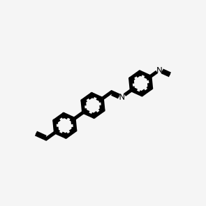 C=Cc1ccc(-c2ccc(C=Nc3ccc(N=C)cc3)cc2)cc1